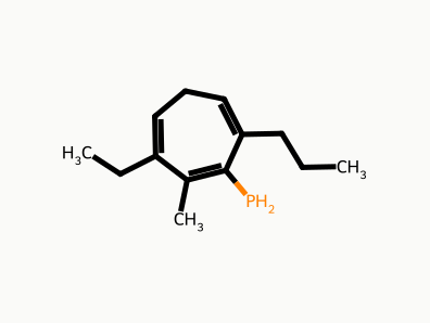 CCCC1=CCC=C(CC)C(C)=C1P